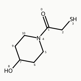 O=C(CS)N1CCC(O)CC1